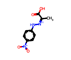 C/C(=N/Nc1ccc([N+](=O)[O-])cc1)C(=O)O